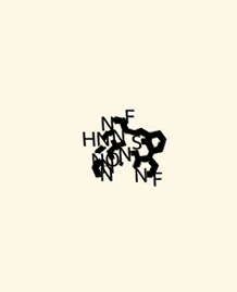 CC1(C)COCN1Cc1cnc(F)cc1-c1cccc2cc(-c3nc(NCCn4ccnn4)ncc3F)sc12